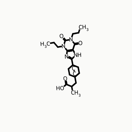 CCCn1c(=O)c2[nH]c(C34CCC(CC(C)C(=O)O)(CC3)CC4)nc2n(CCC)c1=O